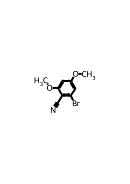 COc1cc(Br)c(C#N)c(OC)c1